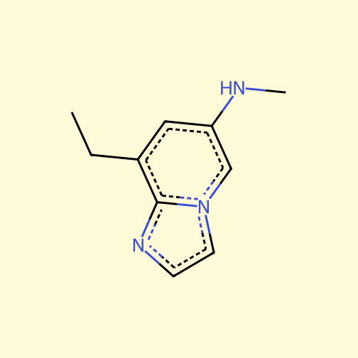 CCc1cc(NC)cn2ccnc12